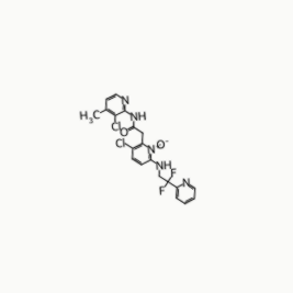 Cc1ccnc(NC(=O)Cc2c(Cl)ccc(NCC(F)(F)c3ccccn3)[n+]2[O-])c1Cl